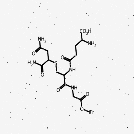 CC(C)OC(=O)CNC(=O)C(CSC(CC(N)=O)C(N)=O)NC(=O)CCC(N)C(=O)O